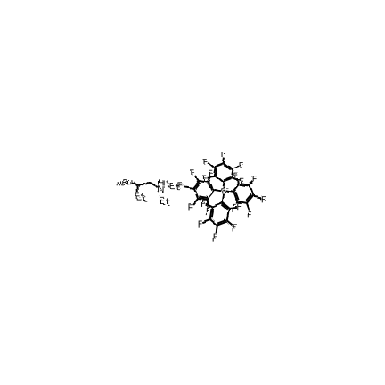 CCCCC(CC)C[NH+](CC)CC.Fc1c(F)c(F)c([B-](c2c(F)c(F)c(F)c(F)c2F)(c2c(F)c(F)c(F)c(F)c2F)c2c(F)c(F)c(F)c(F)c2F)c(F)c1F